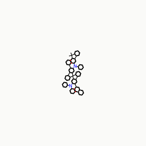 CC1(C)c2ccccc2-c2cc(N(c3ccccc3)c3cc4c(cc3-c3ccccc3)-c3ccccc3C43c4ccccc4-c4cc(-c5ccc6ccccc6c5)c(N(c5ccccc5)c5ccccc5)cc43)ccc21